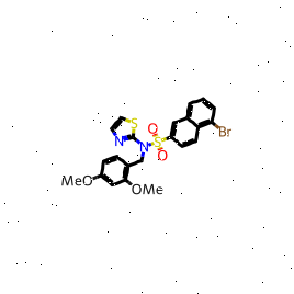 COc1ccc(CN(c2nccs2)S(=O)(=O)c2ccc3c(Br)cccc3c2)c(OC)c1